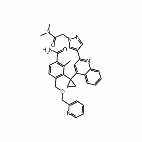 Cc1c(C(N)=O)ccc(COCc2ccccn2)c1C1(c2cc(-c3cnn(CC(=O)N(C)C)c3)nc3ccccc23)CC1